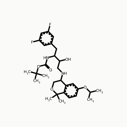 CC(C)Oc1ccc2c(c1)C(NCC(O)C(Cc1cc(F)cc(F)c1)NC(=O)OC(C)(C)C)COC2(C)C